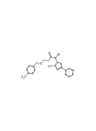 CCN(C(=O)CCSCc1ccc(C(F)(F)F)cc1)c1cn(-c2cccnc2)nc1Cl